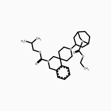 CCOC(=O)N1CC2CCC1CC(N1CCC3(CC1)CN(C(=O)OCC(C)C)Cc1ccccc13)C2